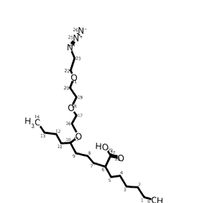 CCCCCCC(CCCC(CCCC)OCCOCCOCCN=[N+]=[N-])C(=O)O